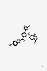 Cc1nsc(-c2cnc(C(=O)NCc3ccc(Cl)cc3)cc2O[C@H]2CCN3C(=O)OC[C@@H]3C2)n1